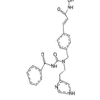 O=C(/C=C/c1ccc(CN(CCc2c[nH]cn2)C(=O)NC(=O)c2ccccc2)cc1)NO